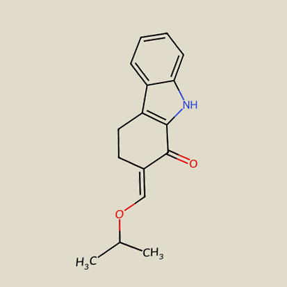 CC(C)OC=C1CCc2c([nH]c3ccccc23)C1=O